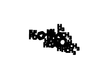 CC1=C[C@]23C(=O)[C@@H](C=C(CO)[C@@H](O)[C@]2(O)[C@H]1n1cc(-c2ccc(OC(F)(F)F)cc2)nn1)[C@H]1[C@@H](C[C@H]3C)C1(C)C